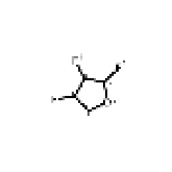 FC1COC(F)C1F